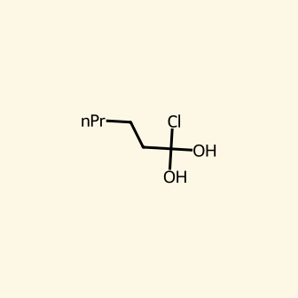 CCCCCC(O)(O)Cl